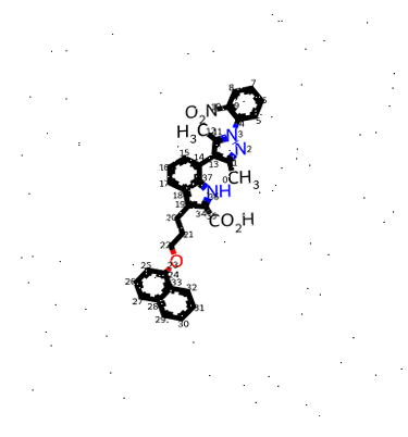 Cc1nn(-c2ccccc2[N+](=O)[O-])c(C)c1-c1cccc2c(CCCOc3cccc4ccccc34)c(C(=O)O)[nH]c12